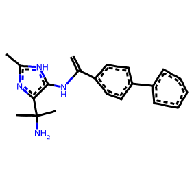 C=C(Nc1[nH]c(C)nc1C(C)(C)N)c1ccc(-c2ccccc2)cc1